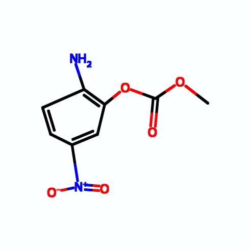 COC(=O)Oc1cc([N+](=O)[O-])ccc1N